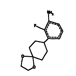 Nc1cccc(C2CCC3(CC2)OCCO3)c1F